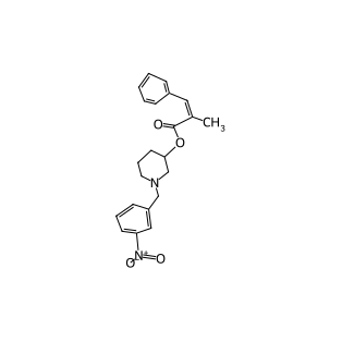 CC(=Cc1ccccc1)C(=O)OC1CCCN(Cc2cccc([N+](=O)[O-])c2)C1